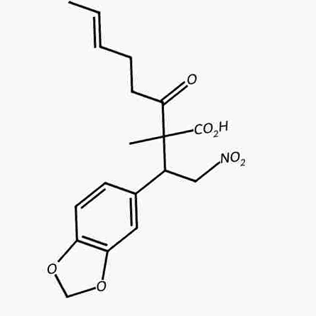 CC=CCCC(=O)C(C)(C(=O)O)C(C[N+](=O)[O-])c1ccc2c(c1)OCO2